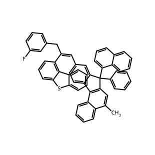 Cc1cc2c(c3ccccc13)-c1ccc(/C=C(/Cc3cccc(F)c3)c3cccc4sc5ccccc5c34)cc1C2(c1ccccc1)c1cccc2ccccc12